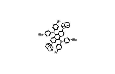 CC(C)c1ccc(N(c2ccc(C(C)(C)C)cc2)c2c3ccc(C45CC6CC(CC(C6)C4)C5)cc3c(N(c3ccc(C(C)C)cc3)c3ccc(C(C)(C)C)cc3)c3ccc(C4C5CC6CC(C5)CC4C6)cc23)cc1